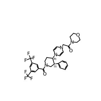 O=C(CN1C=CN([C@@H]2CCN(C(=O)c3cc(C(F)(F)F)cc(C(F)(F)F)c3)C[C@@H]2c2ccccc2)C=C1)N1CCOCC1